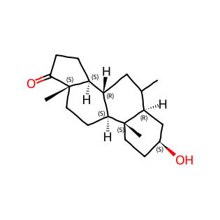 CC1C[C@@H]2[C@H](CC[C@]3(C)C(=O)CC[C@@H]23)[C@@]2(C)CC[C@H](O)C[C@H]12